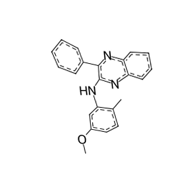 COc1ccc(C)c(Nc2nc3ccccc3nc2-c2ccccc2)c1